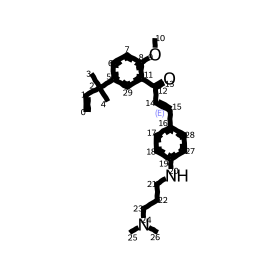 C=CC(C)(C)c1ccc(OC)c(C(=O)/C=C/c2ccc(NCCCN(C)C)cc2)c1